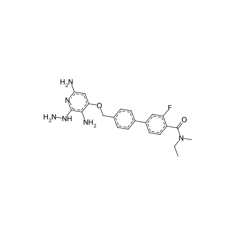 CCN(C)C(=O)c1ccc(-c2ccc(COc3cc(N)nc(NN)c3N)cc2)cc1F